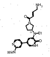 CCN(c1cc(-c2ccnc(NC)c2)c[nH]c1=O)[C@H]1CCN(C(=O)C=CCN)C1